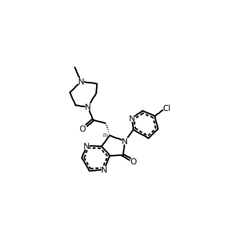 CN1CCN(C(=O)C[C@H]2c3nccnc3C(=O)N2c2ccc(Cl)cn2)CC1